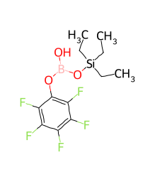 CC[Si](CC)(CC)OB(O)Oc1c(F)c(F)c(F)c(F)c1F